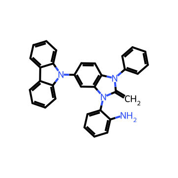 C=C1N(c2ccccc2)c2ccc(-n3c4ccccc4c4ccccc43)cc2N1c1ccccc1N